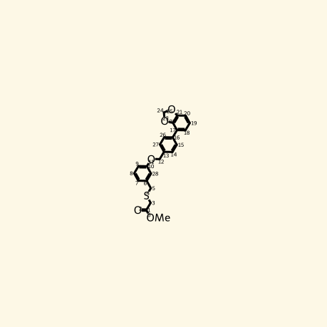 COC(=O)CSCc1cccc(OCc2ccc(-c3cccc4c3OCO4)cc2)c1